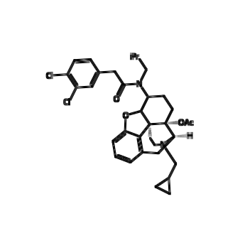 CC(=O)O[C@@]12CCC(N(CC(C)C)C(=O)Cc3ccc(Cl)c(Cl)c3)C3Oc4cccc5c4[C@@]31CCN(CC1CC1)[C@@H]2C5